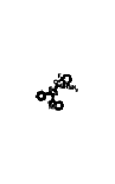 CC1(F)CCCC(N)C1NC(=O)c1nc(-c2cnn3ccccc23)c(-c2ccccc2)s1